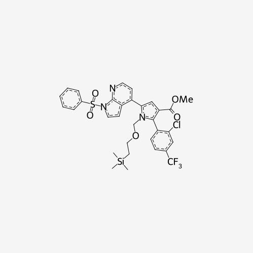 COC(=O)c1cc(-c2ccnc3c2ccn3S(=O)(=O)c2ccccc2)n(COCC[Si](C)(C)C)c1-c1ccc(C(F)(F)F)cc1Cl